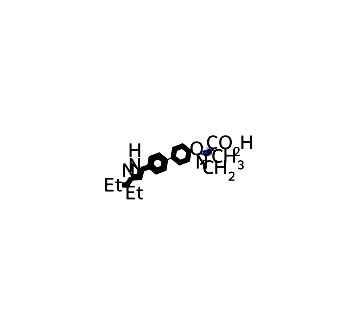 C=N/C(O[C@H]1CC[C@H](c2ccc(-c3cc(C(CC)CC)n[nH]3)cc2)CC1)=C(\C)C(=O)O